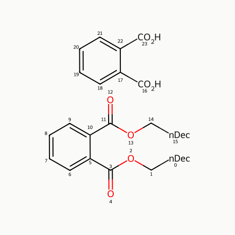 CCCCCCCCCCCOC(=O)c1ccccc1C(=O)OCCCCCCCCCCC.O=C(O)c1ccccc1C(=O)O